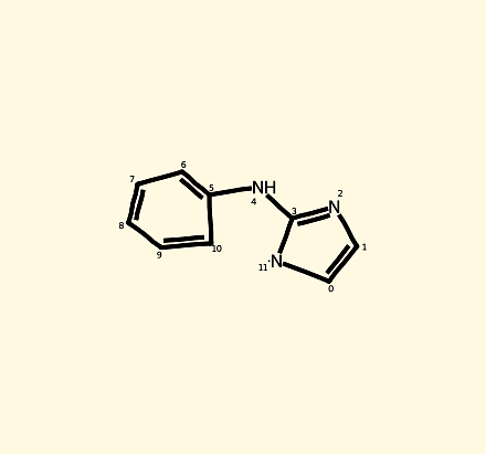 C1=CN=C(Nc2ccccc2)[N]1